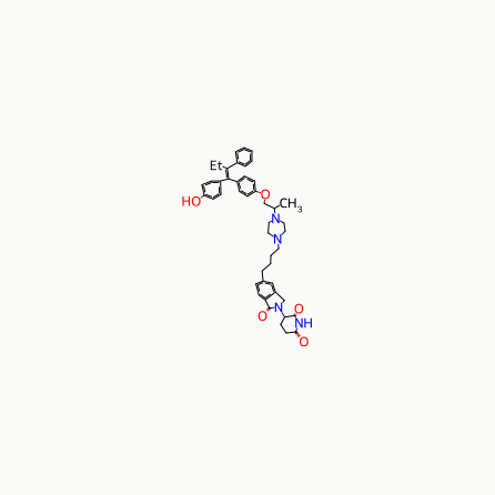 CCC(=C(c1ccc(O)cc1)c1ccc(OCC(C)N2CCN(CCCCc3ccc4c(c3)CN(C3CCC(=O)NC3=O)C4=O)CC2)cc1)c1ccccc1